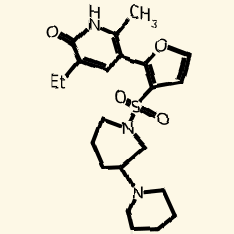 CCc1cc(-c2occc2S(=O)(=O)N2CCCC(N3CCCCC3)C2)c(C)[nH]c1=O